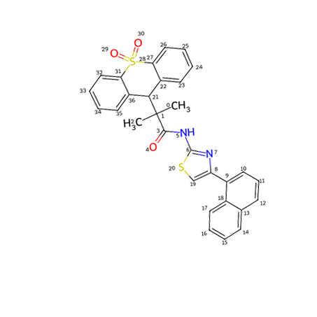 CC(C)(C(=O)Nc1nc(-c2cccc3ccccc23)cs1)C1c2ccccc2S(=O)(=O)c2ccccc21